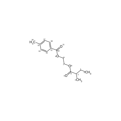 CCC(C)C(=O)OCCOC(=O)c1ccc(C)cc1